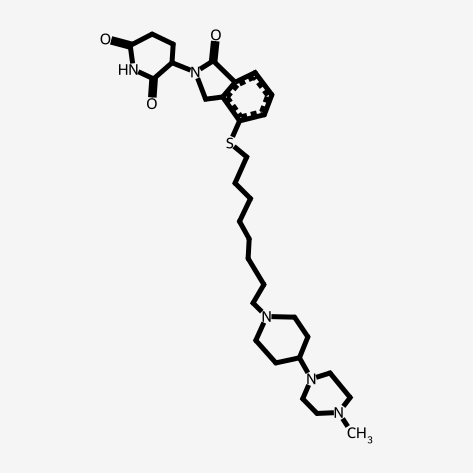 CN1CCN(C2CCN(CCCCCCCCSc3cccc4c3CN(C3CCC(=O)NC3=O)C4=O)CC2)CC1